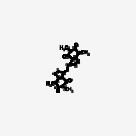 Cn1c(=O)c2c(ncn2CCn2cnc3c2c(=O)n(C)c(=O)n3C)n(C)c1=O